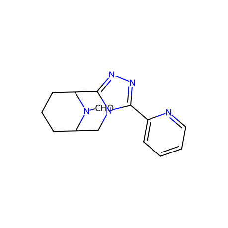 O=CN1C2CCCC1c1nnc(-c3ccccn3)n1C2